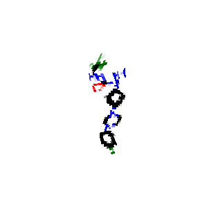 N=CN(C(=O)NCC(F)(F)F)c1ccc(N2CCN(c3ccc(Br)cc3)CC2)cc1